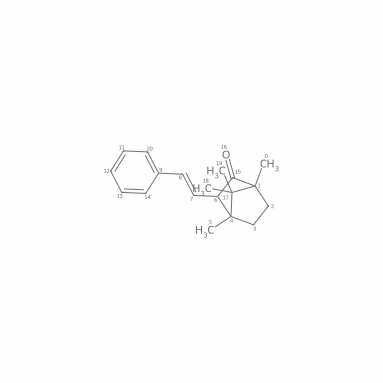 CC12CCC(C)(C(C=Cc3ccccc3)C1=O)C2(C)C